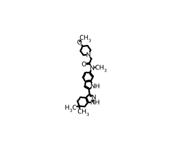 COC1CCN(CC(=O)N(C)c2ccc3cc(-c4n[nH]c5c4CCC(C)(C)C5)[nH]c3c2)CC1